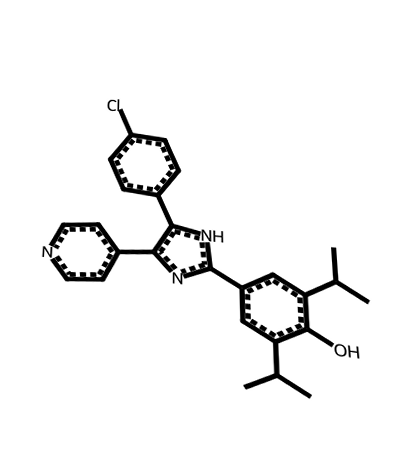 CC(C)c1cc(-c2nc(-c3ccncc3)c(-c3ccc(Cl)cc3)[nH]2)cc(C(C)C)c1O